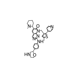 Cc1cc(Cn2c(=O)c(C3CCCCN3C)cc3cnc(Nc4ccc(C5CNCCO5)cc4)nc32)c(-c2ccncc2)s1